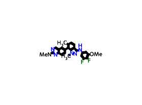 CNc1ncc2cc(-c3c(C)ccc4c(Nc5cc(F)c(F)c(OC)c5)nn(C)c34)ccc2n1